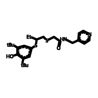 CCC(CSCC(=O)NCc1ccncc1)Sc1cc(C(C)(C)C)c(O)c(C(C)(C)C)c1